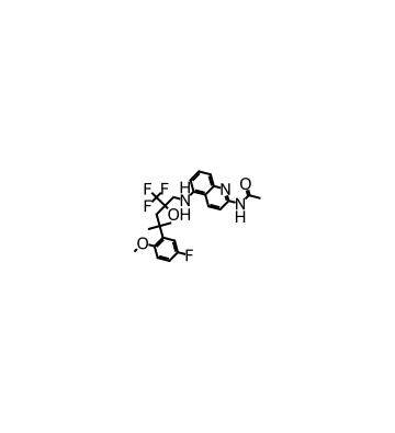 COc1ccc(F)cc1C(C)(C)CC(O)(CNc1cccc2nc(NC(C)=O)ccc12)C(F)(F)F